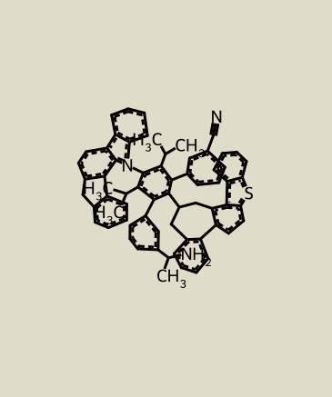 CC(C)c1c(-c2cccc(C#N)c2)c(C2Cc3ccccc3-c3ccc4sc5ccccc5c4c3C2)c(-c2cccc(C(C)N)c2)c(C(C)C)c1-n1c2ccccc2c2ccc3c(c21)-c1ccccc1C3